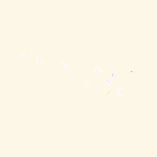 COc1cc(N2CCC(N3CCN(C)CC3)CC2)c(Cl)cc1Nc1ncc(Cl)c(Nc2cc3c(cc2NS(C)(=O)=O)CCO3)n1